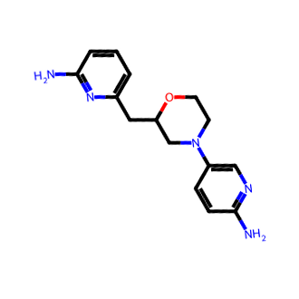 Nc1ccc(N2CCOC(Cc3cccc(N)n3)C2)cn1